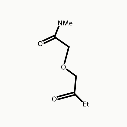 CCC(=O)COCC(=O)NC